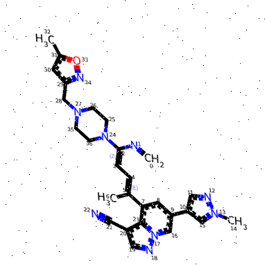 C=N/C(=C\C=C(/C)c1cc(-c2cnn(C)c2)cn2ncc(C#N)c12)N1CCN(Cc2cc(C)on2)CC1